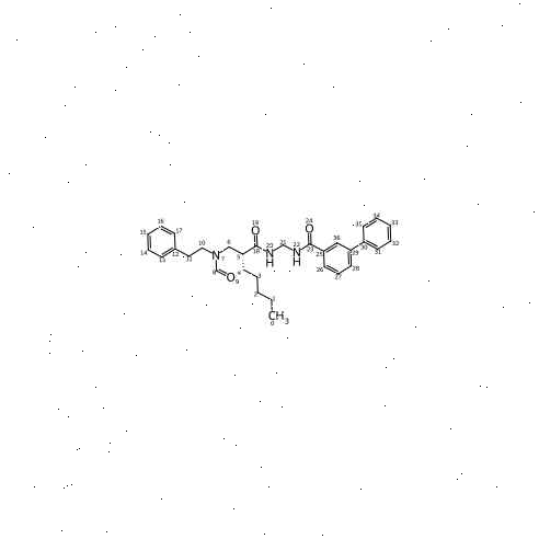 CCCCC[C@H](CN(C=O)CCc1ccccc1)C(=O)NCNC(=O)c1cccc(-c2ccccc2)c1